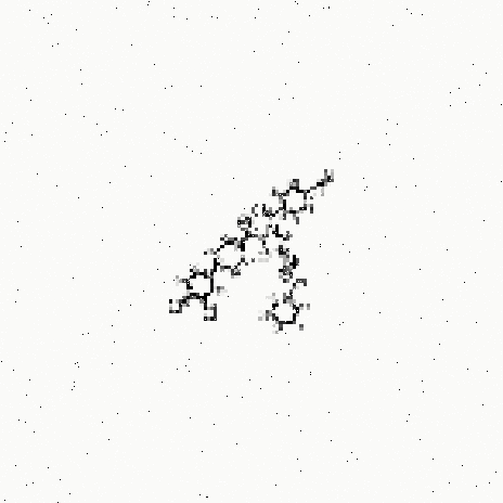 N#Cc1ccc(C(=O)N2CC(=NOCc3ccccc3)C[C@H]2C(=O)N2CCN(c3ccc(Cl)c(Cl)c3)CC2)cc1